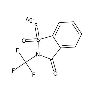 O=C1c2ccccc2S(=O)(=S)N1C(F)(F)F.[Ag]